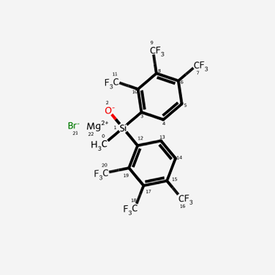 C[Si]([O-])(c1ccc(C(F)(F)F)c(C(F)(F)F)c1C(F)(F)F)c1ccc(C(F)(F)F)c(C(F)(F)F)c1C(F)(F)F.[Br-].[Mg+2]